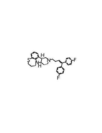 Fc1ccc(C(=CCCN2CC[C@@H]3[C@H](C2)c2cccc4c2N3CCCS4)c2ccc(F)cc2)cc1